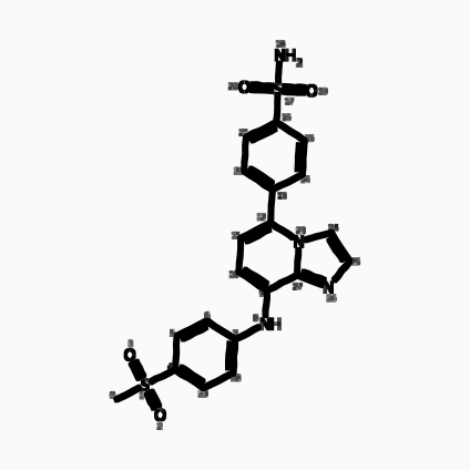 CS(=O)(=O)c1ccc(Nc2ccc(-c3ccc(S(N)(=O)=O)cc3)n3ccnc23)cc1